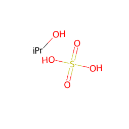 CC(C)O.O=S(=O)(O)O